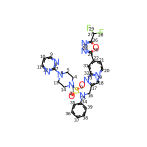 O=S(=O)(N1CCN(c2ncccn2)CC1)N(Cc1cn2ccc(-c3nnc(C(F)F)o3)cc2n1)c1ccccc1